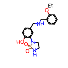 CCOc1ccccc1CNCc1ccc(O)c(N2CCNS2(=O)=O)c1